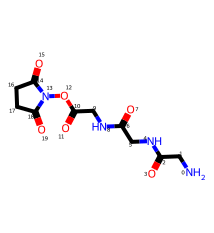 NCC(=O)NCC(=O)NCC(=O)ON1C(=O)CCC1=O